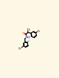 CCC(C(=O)NCc1cc(Br)ccc1F)c1cccc(Br)c1